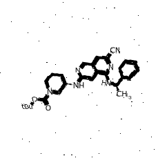 C[C@@H](Nc1nc(C#N)cc2cnc(N[C@H]3CCCN(C(=O)OC(C)(C)C)C3)cc12)C1C=CC=CC1